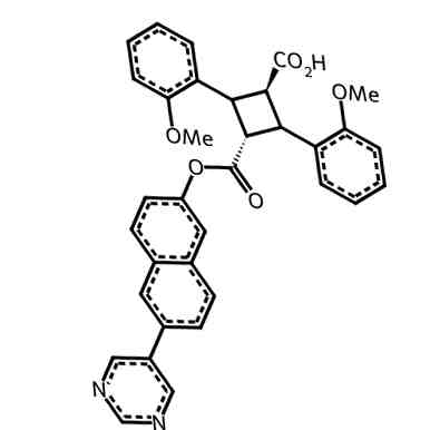 COc1ccccc1C1[C@H](C(=O)O)C(c2ccccc2OC)[C@H]1C(=O)Oc1ccc2cc(-c3cncnc3)ccc2c1